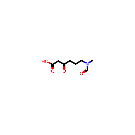 CN(C=O)CCCC(=O)CC(=O)O